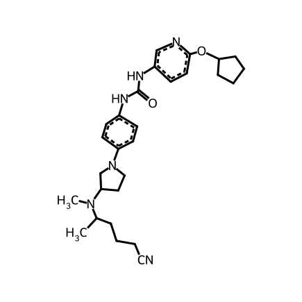 CC(CCCC#N)N(C)C1CCN(c2ccc(NC(=O)Nc3ccc(OC4CCCC4)nc3)cc2)C1